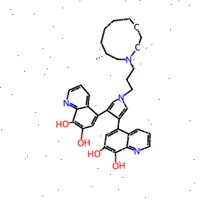 C[C@@H]1CCCCCCCN(CCCn2cc(-c3cc(O)c(O)c4ncccc34)c(-c3cc(O)c(O)c4ncccc34)c2)C1